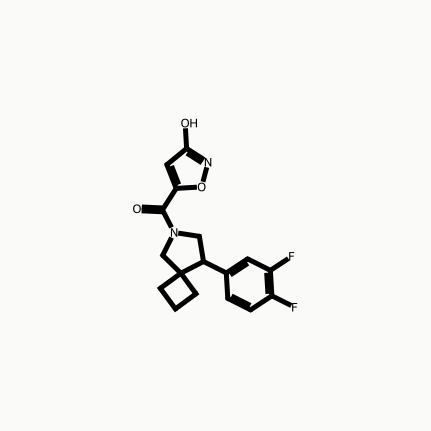 O=C(c1cc(O)no1)N1CC(c2ccc(F)c(F)c2)C2(CCC2)C1